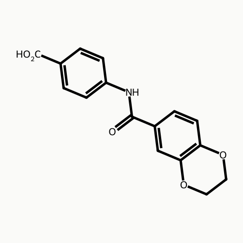 O=C(O)c1ccc(NC(=O)c2ccc3c(c2)OCCO3)cc1